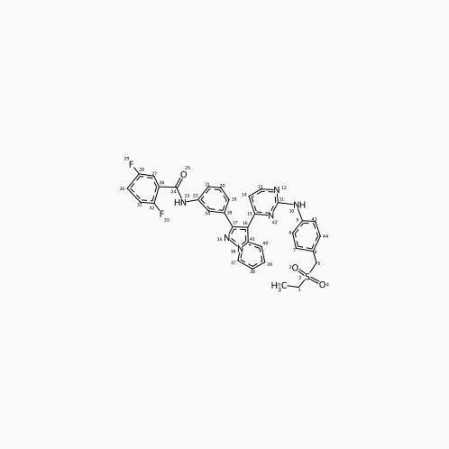 CCS(=O)(=O)Cc1ccc(Nc2nccc(-c3c(-c4cccc(NC(=O)c5cc(F)ccc5F)c4)nn4ccccc34)n2)cc1